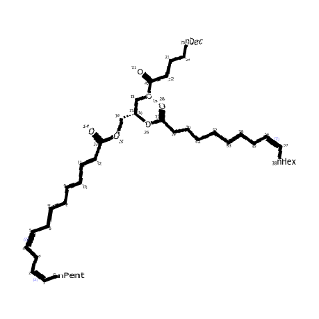 CCCCC/C=C\C/C=C\CCCCCCCC(=O)OC[C@H](COC(=O)CCCCCCCCCCCCC)OC(=O)CCCCCCC/C=C\CCCCCC